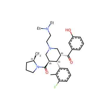 CCN(CC)CCN1C[C@H](C(=O)c2cccc(O)c2)[C@H](c2cccc(F)c2C)[C@@H](C(=O)N2CCC[C@H]2C(F)(F)F)C1